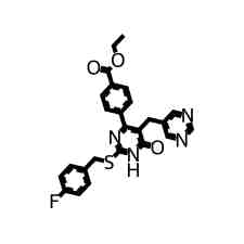 CCOC(=O)c1ccc(-c2nc(SCc3ccc(F)cc3)[nH]c(=O)c2Cc2cncnc2)cc1